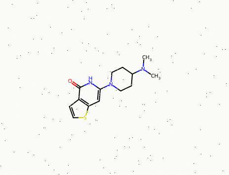 CN(C)C1CCN(c2cc3sccc3c(=O)[nH]2)CC1